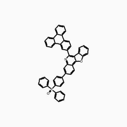 O=P(c1ccccc1)(c1ccccc1)c1ccc(-c2ccc3c(c2)nc(-c2ccc4c5ccccc5c5ccccc5c4c2)c2c4ccccc4oc32)cc1